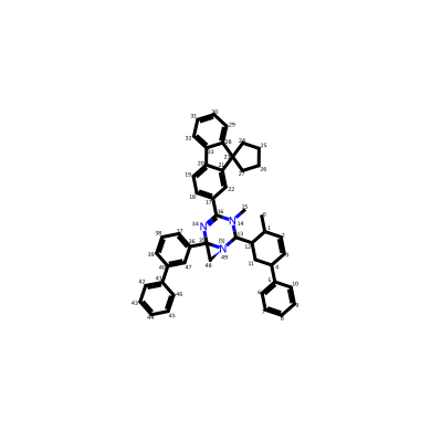 CC1C=CC(c2ccccc2)CC1C1N(C)C(c2ccc3c(c2)C2(CCCC2)c2ccccc2-3)=NC2(c3cccc(-c4ccccc4)c3)C[N@]12